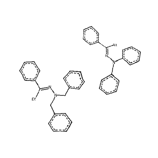 CCC(=NN(Cc1ccccc1)Cc1ccccc1)c1ccccc1.CCC(=NN(c1ccccc1)c1ccccc1)c1ccccc1